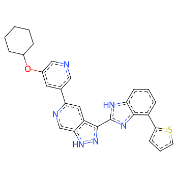 c1csc(-c2cccc3[nH]c(-c4n[nH]c5cnc(-c6cncc(OC7CCCCC7)c6)cc45)nc23)c1